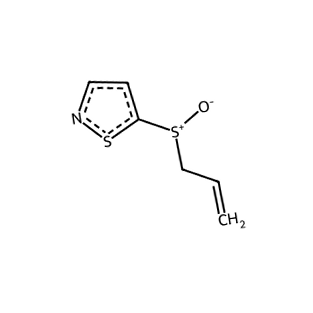 C=CC[S+]([O-])c1ccns1